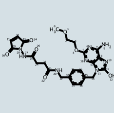 COCCOc1nc(N)c2nc(O)n(Cc3ccc(CNC(=O)CCC(=O)NN4C(=O)C=CC4=O)cc3)c2n1